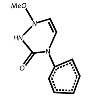 CON1C=CN(c2ccccc2)C(=O)N1